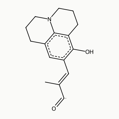 C/C([C]=O)=C\c1cc2c3c(c1O)CCCN3CCC2